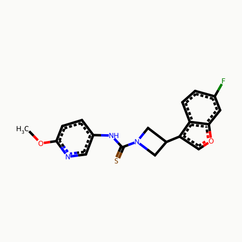 COc1ccc(NC(=S)N2CC(c3coc4cc(F)ccc34)C2)cn1